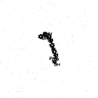 CC(C)C(C(=O)N1C[C@H](O)C[C@H]1C)c1cc(N2CCC3(CC2)CC(N2CCC(c4cnc(N5CCc6[nH]c7nnc(-c8ccccc8O)cc7c6[C@H]5C)nc4)CC2)C3)no1